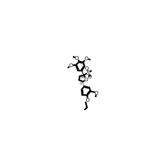 CCCOc1ccc([C@@H]2CC[C@](c3cc(OC)c(OC)c(OC)c3)(S(C)(=O)=O)O2)cc1OC